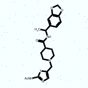 CC(=O)Nc1ncc(CN2CCC(C(=O)NC(C)c3ccc4c(c3)OCO4)CC2)s1